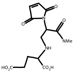 CNC(=O)C(CNC(CCC(=O)O)C(=O)O)N1C(=O)C=CC1=O